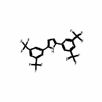 FC(F)(F)c1cc(-c2ccc(-c3cc(C(F)(F)F)cc(C(F)(F)F)c3)[nH]2)cc(C(F)(F)F)c1